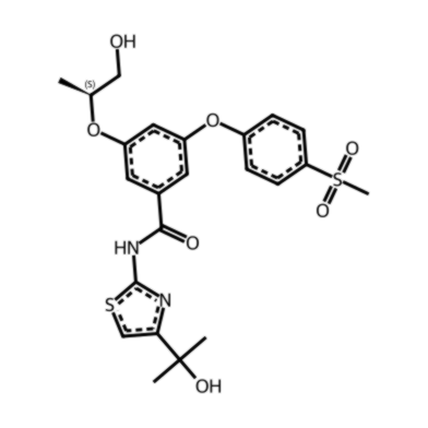 C[C@@H](CO)Oc1cc(Oc2ccc(S(C)(=O)=O)cc2)cc(C(=O)Nc2nc(C(C)(C)O)cs2)c1